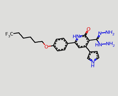 N/N=C(\NN)c1c(-c2cc[nH]c2)cc(-c2ccc(OCCCCCC(F)(F)F)cc2)[nH]c1=O